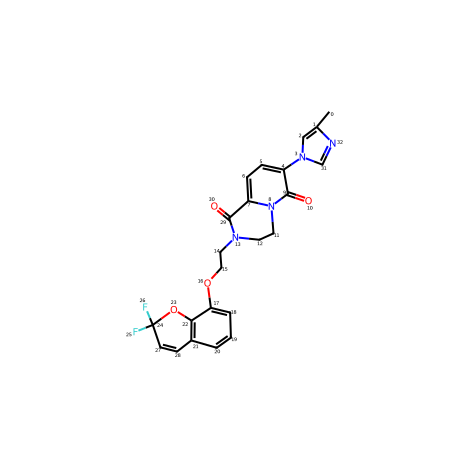 Cc1cn(-c2ccc3n(c2=O)CCN(CCOc2cccc4c2OC(F)(F)C=C4)C3=O)cn1